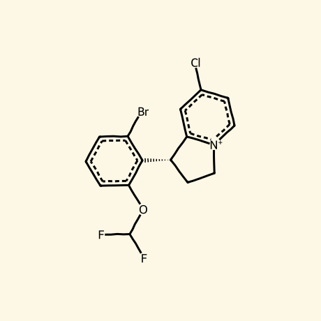 FC(F)Oc1cccc(Br)c1[C@H]1CC[n+]2ccc(Cl)cc21